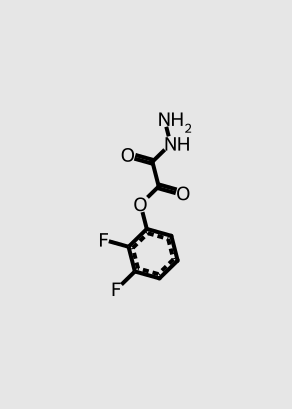 NNC(=O)C(=O)Oc1cccc(F)c1F